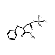 COC(=O)C(CC(=O)OC(C)(C)C)Sc1ccccc1